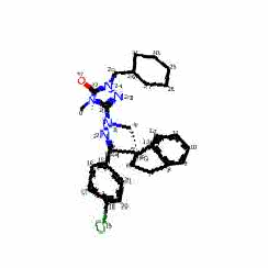 Cn1c(N2C[C@]3(CCc4ccccc43)C(c3ccc(Cl)cc3)=N2)nn(CC2CCCCC2)c1=O